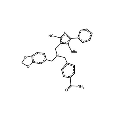 CCCCn1c(-c2ccccc2)nc(C#N)c1CN(Cc1ccc(C(N)=O)cc1)Cc1ccc2c(c1)OCO2